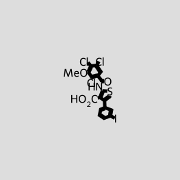 COc1c(Cl)c(Cl)cc(C(=O)Nc2scc(-c3cccc(I)c3)c2C(=O)O)c1Cl